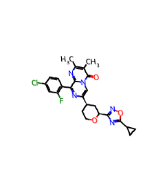 Cc1nc2c(-c3ccc(Cl)cc3F)nc([C@@H]3CCO[C@H](c4noc(C5CC5)n4)C3)cn2c(=O)c1C